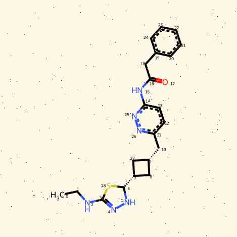 CCNC1=NNC([C@H]2C[C@@H](Cc3ccc(NC(=O)Cc4ccccc4)nn3)C2)S1